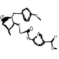 COC(=O)c1ccc(NC(=O)CSC2C(C)=CC(=O)N2Cc2ccc(OC)cc2)nc1